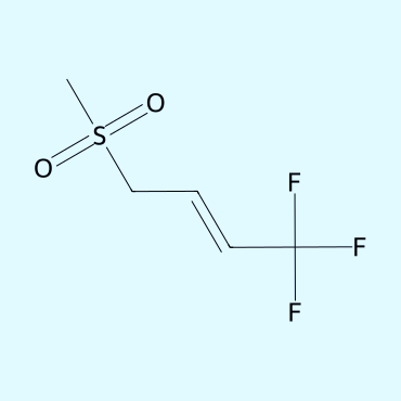 CS(=O)(=O)CC=CC(F)(F)F